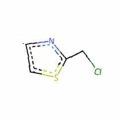 ClCc1n[c]cs1